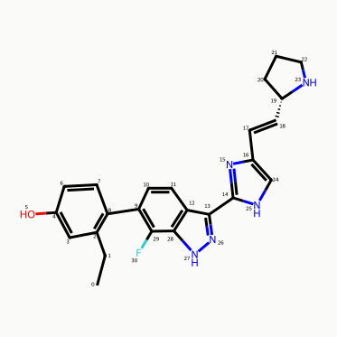 CCc1cc(O)ccc1-c1ccc2c(-c3nc(/C=C/[C@@H]4CCCN4)c[nH]3)n[nH]c2c1F